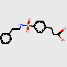 O=C(O)CCc1ccc(S(=O)(=O)NC=Cc2ccccc2)cc1